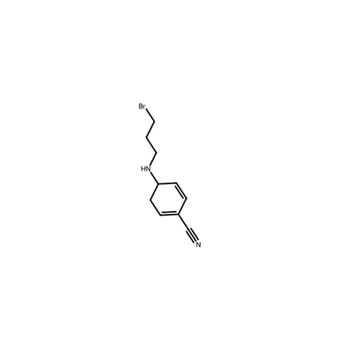 N#CC1=CCC(NCCCBr)C=C1